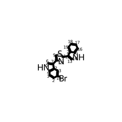 Brc1ccc2[nH]cc(-c3csc(-c4c[nH]c5ccccc45)n3)c2c1